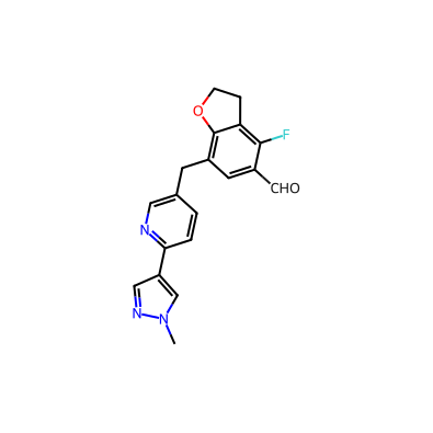 Cn1cc(-c2ccc(Cc3cc(C=O)c(F)c4c3OCC4)cn2)cn1